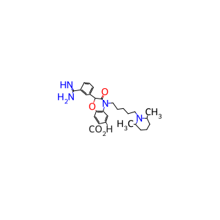 CC1CCCC(C)N1CCCCCN1C(=O)C(c2cccc(C(=N)N)c2)Oc2ccc(C(=O)O)cc21